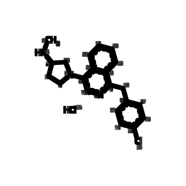 CNC1CCN(c2nnc(Cc3ccc(Cl)cc3)c3ccccc23)C1.Cl